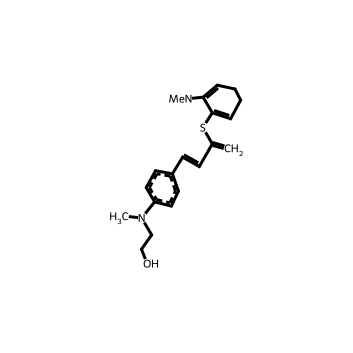 C=C(/C=C/c1ccc(N(C)CCO)cc1)SC1=CCCC=C1NC